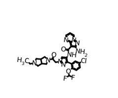 CCN1CC2CN(C(=O)Cn3cc(NC(=O)c4c(N)nn5cccnc45)c(-c4cc(Cl)ccc4OC(F)F)n3)CC2C1